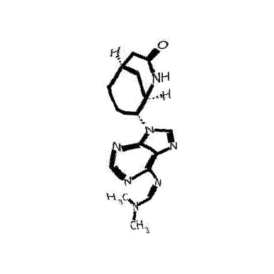 CN(C)/C=N\c1ncnc2c1ncn2[C@@H]1CC[C@H]2CC(=O)N[C@@H]1C2